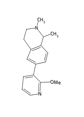 COc1ncccc1-c1ccc2c(c1)CCN(C)C2C